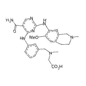 COc1cc2c(cc1Nc1ncc(C(N)=O)c(Nc3cccc(CN(C)CC(=O)O)c3)n1)CN(C)CC2